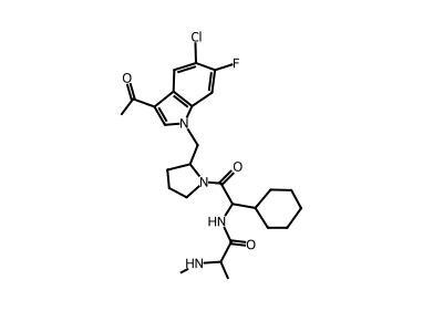 CNC(C)C(=O)NC(C(=O)N1CCCC1Cn1cc(C(C)=O)c2cc(Cl)c(F)cc21)C1CCCCC1